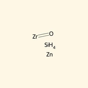 [O]=[Zr].[SiH4].[Zn]